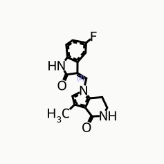 Cc1cn(/C=C2\C(=O)Nc3ccc(F)cc32)c2c1C(=O)NCC2